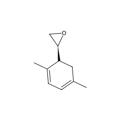 CC1=CC=C(C)C([C@H]2CO2)C1